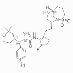 CC1(C)C[C@@H]([C@H](c2ccc(Cl)cc2)[C@H](N)C(=O)NC2=C(CC[C@H]3CN[C@@H]4CCCS(=O)(=O)N3C4)CC=C2F)CCO1